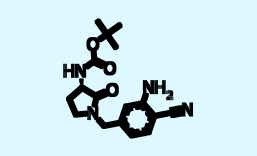 CC(C)(C)OC(=O)N[C@H]1CCN(Cc2ccc(C#N)c(N)c2)C1=O